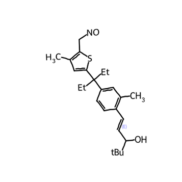 CCC(CC)(c1ccc(/C=C/C(O)C(C)(C)C)c(C)c1)c1cc(C)c(CN=O)s1